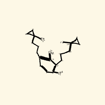 CCC1(CCCc2ccc(O)c(CCCC3(I)CC3)c2O)CC1